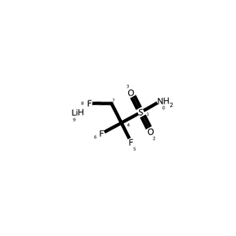 NS(=O)(=O)C(F)(F)CF.[LiH]